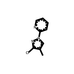 Cc1cn(-c2ccccn2)nc1Cl